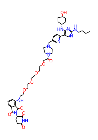 CCCCNc1ncc(-c2ccc(CN3CCN(C(=O)COCCOCCOCCOCCNc4cccc5c4C(=O)N(C4CCC(=O)NC4=O)C5=O)CC3)cn2)c(N[C@H]2CC[C@H](O)CC2)n1